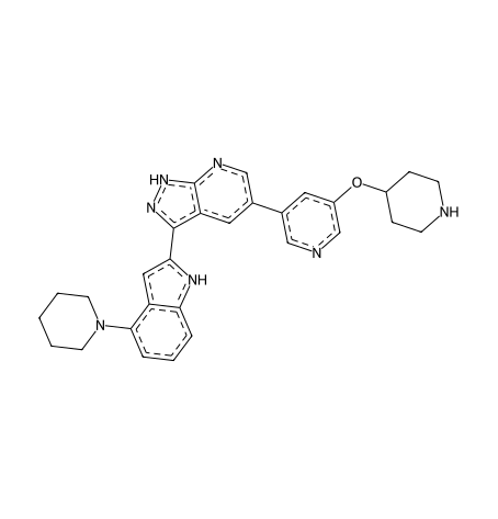 c1cc(N2CCCCC2)c2cc(-c3n[nH]c4ncc(-c5cncc(OC6CCNCC6)c5)cc34)[nH]c2c1